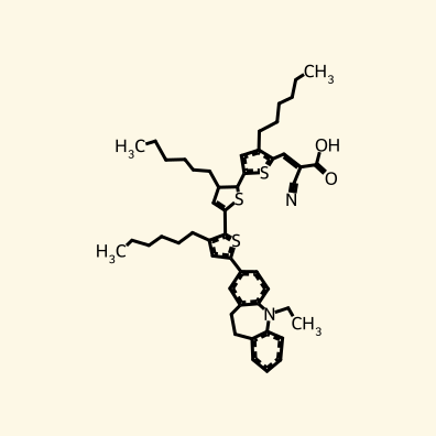 CCCCCCc1cc(C2SC(c3sc(-c4ccc5c(c4)CCc4ccccc4N5CC)cc3CCCCCC)=CC2CCCCCC)sc1/C=C(\C#N)C(=O)O